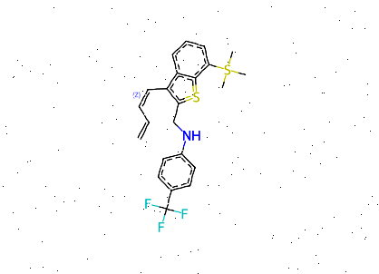 C=C/C=C\c1c(CNc2ccc(C(F)(F)F)cc2)sc2c(S(C)(C)C)cccc12